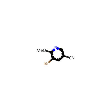 COc1ncc(C#N)cc1Br